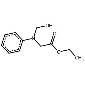 CCOC(=O)CN(CO)c1ccccc1